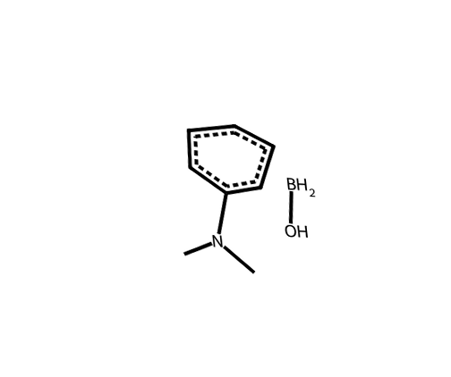 BO.CN(C)c1ccccc1